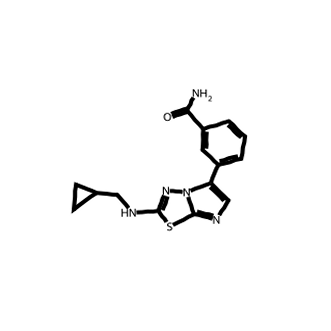 NC(=O)c1cccc(-c2cnc3sc(NCC4CC4)nn23)c1